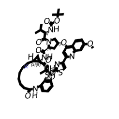 COc1ccc2c(O[C@@H]3C[C@@H](C(=O)N[C@]45C[C@H]4/C=C\CCCCC(=O)Nc4ccccc4S(=O)(=O)NC5=O)N(C(=O)[C@@H](NC(=O)OC(C)(C)C)C(C)C)C3)cc(-c3csc(NC(C)C)n3)nc2c1